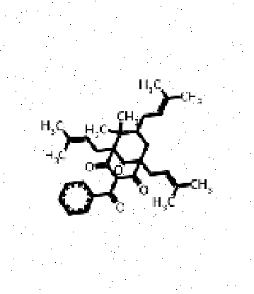 CC(C)=CCC1CC2(CC=C(C)C)C(=O)C(C(=O)c3ccccc3)C(=O)C(CC=C(C)C)(C2=O)C1(C)C